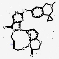 CN1Cc2cc(Nc3ncc4c(=O)n5n(c4n3)-c3ccc4c(n3)N(CC/C=C/C5)C(=O)CO4)ccc2C2(CC2)C1